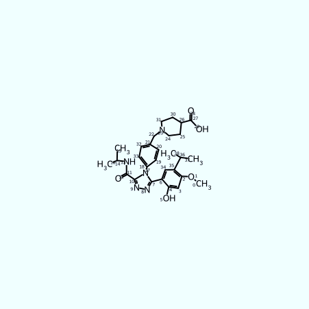 COc1cc(O)c(-c2nnc(C(=O)NC(C)C)n2-c2ccc(CN3CCC(C(=O)O)CC3)cc2)cc1C(C)C